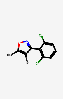 CCc1c(-c2c(Cl)cccc2Cl)noc1C(C)(C)C